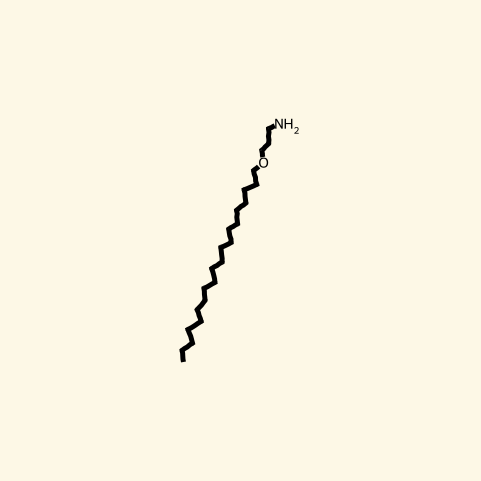 CCCCCCCCCCCCCCCCCCCCOCCCN